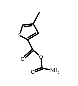 Cc1csc(C(=O)OC(N)=O)c1